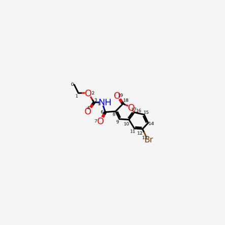 CCOC(=O)NC(=O)c1cc2cc(Br)ccc2oc1=O